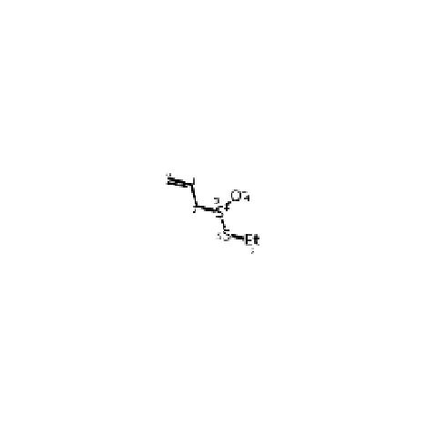 C=CC[S+]([O-])SCC